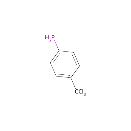 Pc1ccc(C(Cl)(Cl)Cl)cc1